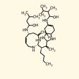 C=C1C[C@@H](NC(O)CC(C)C)/C=C\CN[C@@H]([C@H](CCCC)C(=C)C2NC3CC=C(NC(O)C(C)C(C)C)C[C@H]3N2)N1